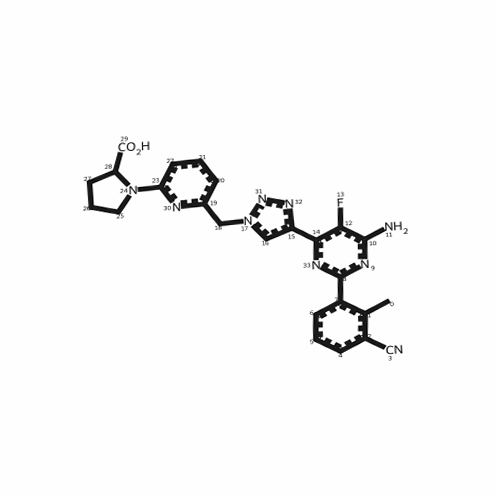 Cc1c(C#N)cccc1-c1nc(N)c(F)c(-c2cn(Cc3cccc(N4CCCC4C(=O)O)n3)nn2)n1